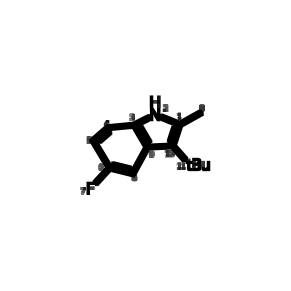 Cc1[nH]c2ccc(F)cc2c1C(C)(C)C